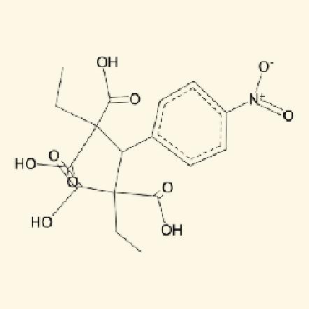 CCC(C(=O)O)(C(=O)O)C(c1ccc([N+](=O)[O-])cc1)C(CC)(C(=O)O)C(=O)O